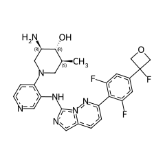 C[C@H]1CN(c2ccncc2Nc2ncc3ccc(-c4c(F)cc(C5(F)COC5)cc4F)nn23)C[C@@H](N)[C@@H]1O